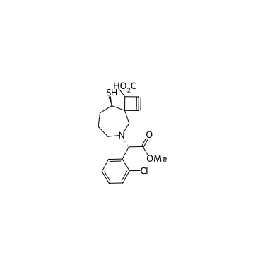 COC(=O)[C@H](c1ccccc1Cl)N1CCC[C@@H](S)C2(C#CC2C(=O)O)C1